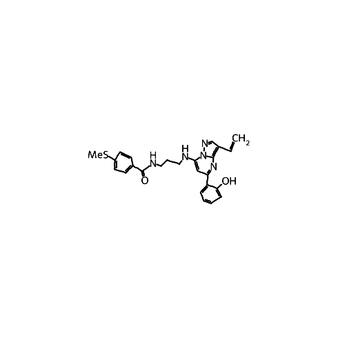 C=Cc1cnn2c(NCCCNC(=O)c3ccc(SC)cc3)cc(-c3ccccc3O)nc12